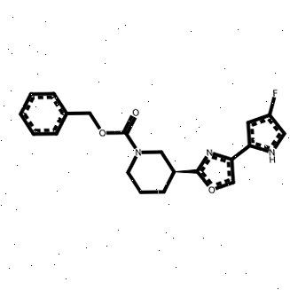 O=C(OCc1ccccc1)N1CCC[C@H](c2nc(-c3cc(F)c[nH]3)co2)C1